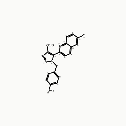 CCOC(=O)c1nnn(Cc2ccc(OC)cc2)c1-c1ccc2cc(Cl)ccc2n1